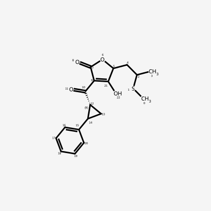 CSC(C)CC1OC(=O)C(C(=O)[C@@H]2CC2c2ccccc2)=C1O